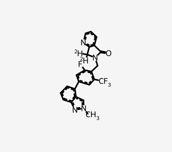 [2H]C1([2H])c2ncccc2C(=O)N1Cc1c(F)cc(-c2cccc3nn(C)cc23)cc1C(F)(F)F